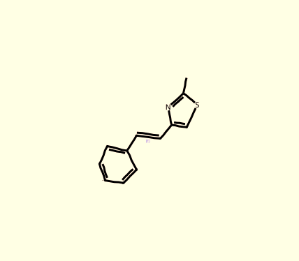 Cc1nc(/C=C/c2cc[c]cc2)cs1